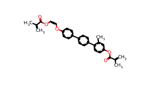 C=C(C)C(=O)O/C=C\Oc1ccc(-c2ccc(-c3ccc(OC(=O)C(=C)C)cc3C)cc2)cc1